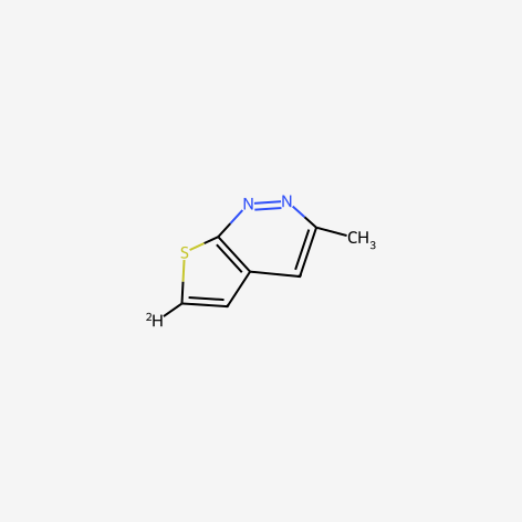 [2H]c1cc2cc(C)nnc2s1